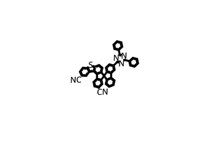 N#Cc1ccc2c(c1)C1(c3ccccc3-c3cc(-c4nc(-c5ccccc5)nc(-c5ccccc5)n4)ccc31)c1ccc3sc4ccc(C#N)cc4c3c1-2